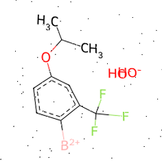 [B+2]c1ccc(OC(C)C)cc1C(F)(F)F.[OH-].[OH-]